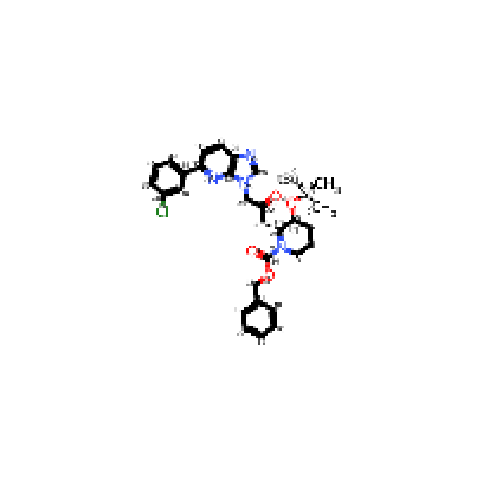 CC(C)(C)[Si](C)(C)O[C@H]1CCCN(C(=O)OCc2ccccc2)[C@@H]1CC(=O)Cn1cnc2ccc(-c3cccc(Cl)c3)nc21